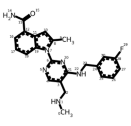 CNCc1cnc(-n2c(C)cc3c(C(N)=O)cccc32)nc1NCc1cccc(F)c1